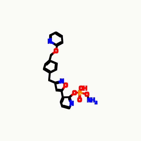 NOP(=O)(O)Oc1ncccc1-c1cc(Cc2ccc(COc3ccccn3)cc2)no1